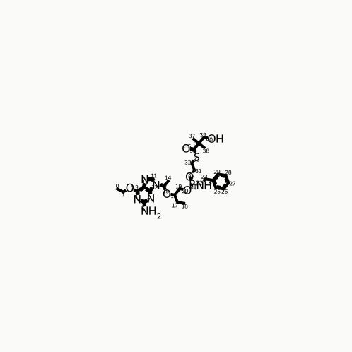 CCOc1nc(N)nc2c1ncn2C(C)OC(CC)CO[P@](NCc1ccccc1)OCCSC(=O)C(C)(C)CO